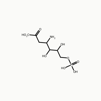 NC(CC(=O)C(=O)O)C(O)C(O)COP(=O)(O)O